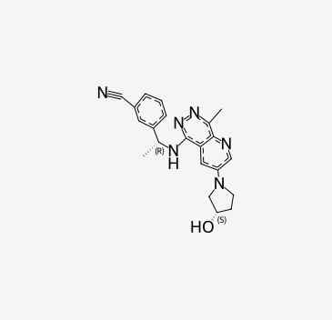 Cc1nnc(N[C@H](C)c2cccc(C#N)c2)c2cc(N3CC[C@H](O)C3)cnc12